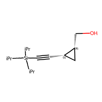 CC(C)[Si](C#C[C@H]1C[C@H]1CO)(C(C)C)C(C)C